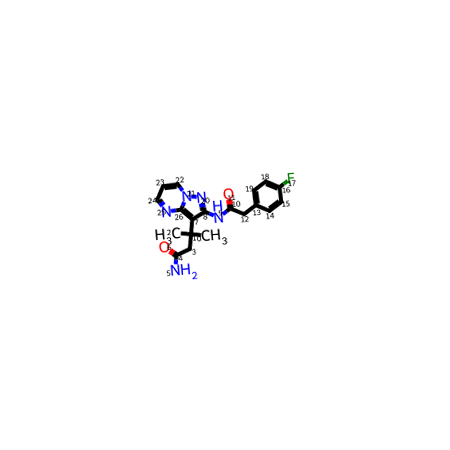 CC(C)(CC(N)=O)c1c(NC(=O)Cc2ccc(F)cc2)nn2cccnc12